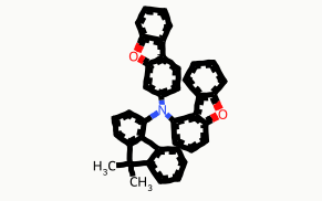 CC1(C)c2ccccc2-c2c(N(c3ccc4c(c3)oc3ccccc34)c3cccc4oc5ccccc5c34)cccc21